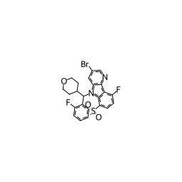 CS(=O)(=O)c1ccc(F)c2c3ncc(Br)cc3n(C(c3ccccc3F)C3CCOCC3)c12